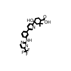 CC1(C)CC(O)(c2ccc(-c3cccc(Nc4nccc(C(F)(F)F)n4)c3)cn2)CCC1C(=O)O